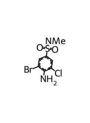 CNS(=O)(=O)c1cc(Cl)c(N)c(Br)c1